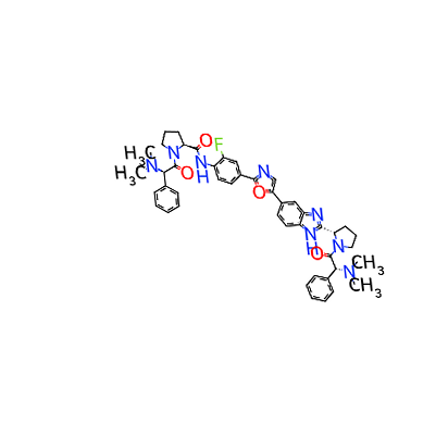 CN(C)[C@@H](C(=O)N1CCC[C@H]1C(=O)Nc1ccc(-c2ncc(-c3ccc4[nH]c([C@@H]5CCCN5C(=O)[C@@H](c5ccccc5)N(C)C)nc4c3)o2)cc1F)c1ccccc1